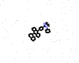 CC1(C)N=C(c2ccc(-c3c4ccccc4c(-c4cccc5ccccc45)c4ccccc34)cc2)N(c2ccccc2)C1(C)C